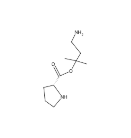 CC(C)(CCN)OC(=O)[C@H]1CCCN1